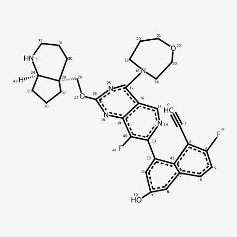 C#Cc1c(F)ccc2cc(O)cc(-c3ncc4c(N5CCCOCC5)nc(OC[C@@]56CCCN[C@@H]5CCC6)nc4c3F)c12